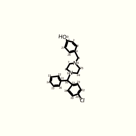 Oc1ccc(CN2CCN(C(c3ccccc3)c3ccc(Cl)cc3)CC2)cc1